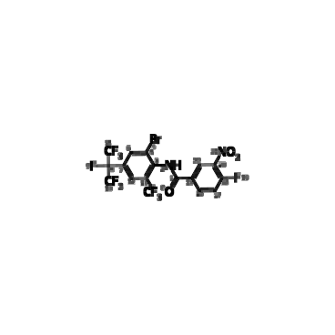 O=C(Nc1c(Br)cc(C(F)(C(F)(F)F)C(F)(F)F)cc1C(F)(F)F)c1ccc(F)c([N+](=O)[O-])c1